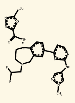 Cn1cc(Nc2nccc(-c3ccc4c(c3)CN(CC(F)F)CC[C@@H]4NC(=O)c3nnc(C(C)(C)C)o3)n2)cn1